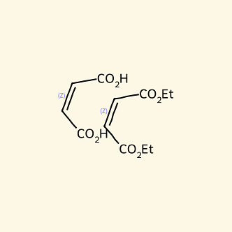 CCOC(=O)/C=C\C(=O)OCC.O=C(O)/C=C\C(=O)O